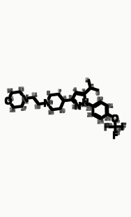 CC(C)c1cc(C2CCN(CCN3CCOCC3)CC2)nn1-c1ccc(OC(F)(F)F)cc1